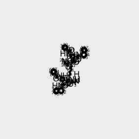 CN[C@@H](C)C(=O)N[C@@H](CCCCCC[C@H](NC(=O)[C@H](C)NC)C(=O)N1C[C@@H](NC(=O)c2ccccc2)C[C@H]1C(=O)N[C@@H]1CCCc2ccccc21)C(=O)N1C[C@@H](NC(=O)c2ccccc2)C[C@H]1C(=O)N[C@@H]1CCCc2ccccc21